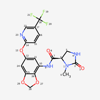 CN1C(=O)NC[C@@H]1C(=O)Nc1cc(Oc2ccc(C(F)(F)F)cn2)cc2c1OCO2